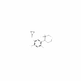 Cc1cc([N+](=O)[O-])c(OC2CC2)cc1C1CCNCC1(F)F